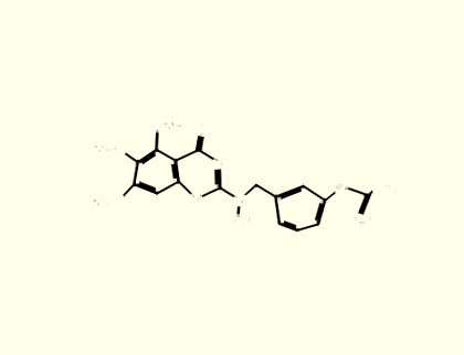 COc1cc2[nH]c(N(C)Cc3cccc(NC(C)=N)c3)nc(=O)c2c(OC)c1OC